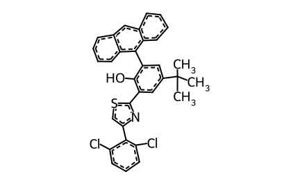 CC(C)(C)c1cc(-c2nc(-c3c(Cl)cccc3Cl)cs2)c(O)c(-c2c3ccccc3cc3ccccc23)c1